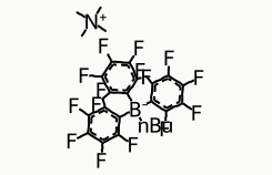 CCCC[B-](c1c(F)c(F)c(F)c(F)c1F)(c1c(F)c(F)c(F)c(F)c1F)c1c(F)c(F)c(F)c(F)c1F.C[N+](C)(C)C